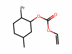 C=COC(=O)OC1CC(C)CCC1C(C)C